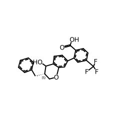 O=C(O)c1ccc(C(F)(F)F)cc1-c1ccc2c(c1)OC[C@H](Cc1ccccc1)C2O